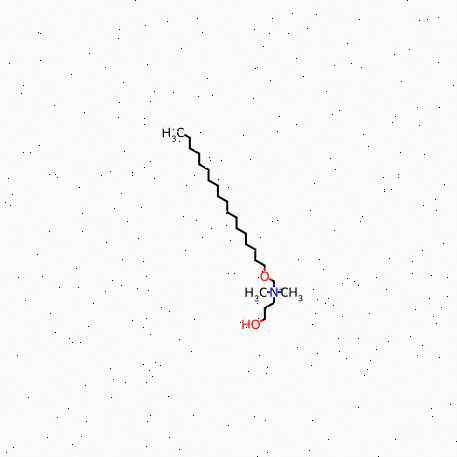 CCCCCCCCCCCCCCCCCCOC[N+](C)(C)CCCO